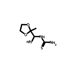 CCCC(NC(N)=S)C1(C)OCCO1